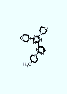 CC1CCN(c2nccc(-c3nc(N4CCOCC4)nc(N4CCOCC4)n3)n2)CC1